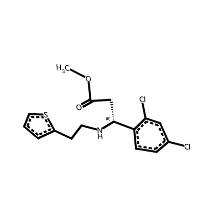 COC(=O)C[C@@H](NCCc1cccs1)c1ccc(Cl)cc1Cl